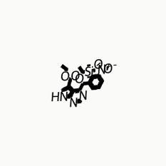 CCOC(=O)c1c[nH]c2ncnc(C(OC(C)[Si](C)(C)C)c3cccc([N+](=O)[O-])c3)c12